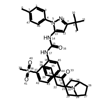 Cc1ccc(-n2nc(C(C)(C)C)cc2NC(=O)Nc2ccc(CC3CC4CCC(C3)N4CC(=O)c3ccc(S(C)(=O)=O)cc3)cc2)cc1